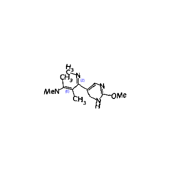 C/N=C(C1=CN=C(OC)NC1)\C(C)=C(/C)NC